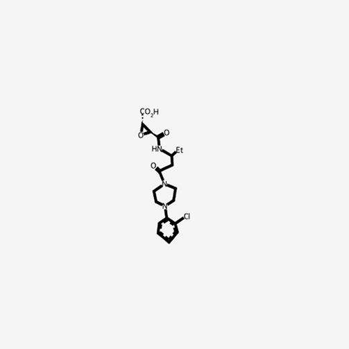 CCC(CC(=O)N1CCN(c2ccccc2Cl)CC1)NC(=O)[C@H]1O[C@@H]1C(=O)O